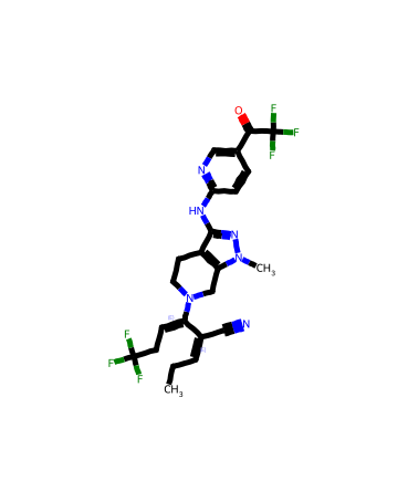 CC/C=C(C#N)\C(=C/CC(F)(F)F)N1CCc2c(Nc3ccc(C(=O)C(F)(F)F)cn3)nn(C)c2C1